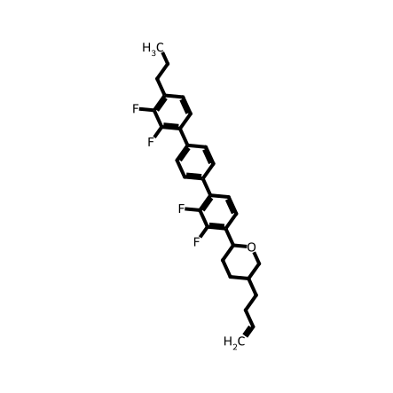 C=CCCC1CCC(c2ccc(-c3ccc(-c4ccc(CCC)c(F)c4F)cc3)c(F)c2F)OC1